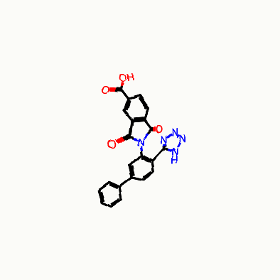 O=C(O)c1ccc2c(c1)C(=O)N(c1cc(-c3ccccc3)ccc1-c1nnn[nH]1)C2=O